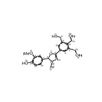 COc1cc(C2OC(c3cc(CO)c(CO)c(CO)c3)=NN2C(C)=O)ccc1O